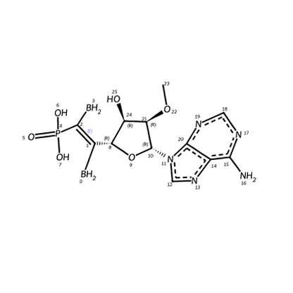 B/C(=C(/B)P(=O)(O)O)[C@H]1O[C@@H](n2cnc3c(N)ncnc32)[C@H](OC)[C@@H]1O